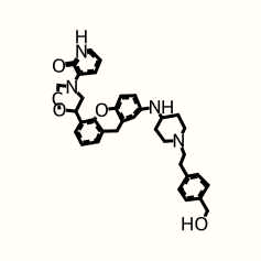 O=c1[nH]cccc1N1CCOC(c2cccc3c2Oc2ccc(NC4CCN(CCc5ccc(CO)cc5)CC4)cc2C3)C1